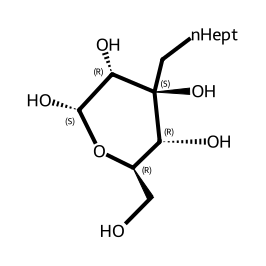 CCCCCCCC[C@]1(O)[C@H](O)[C@@H](CO)O[C@H](O)[C@@H]1O